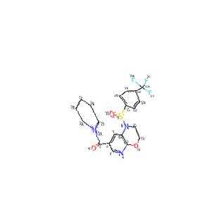 O=C(c1cnc2c(c1)N([S+]([O-])c1ccc(C(F)(F)F)cc1)CCO2)N1CCCCC1